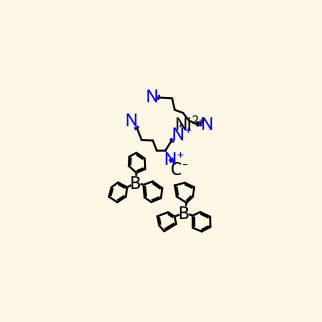 N#CCCCCC#N.[C-]#[N+]C(C#[N+][Ni+2])CCCC#N.c1ccc(B(c2ccccc2)c2ccccc2)cc1.c1ccc(B(c2ccccc2)c2ccccc2)cc1